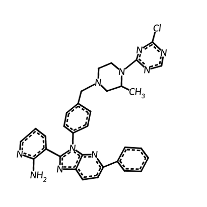 CC1CN(Cc2ccc(-n3c(-c4cccnc4N)nc4ccc(-c5ccccc5)nc43)cc2)CCN1c1ncnc(Cl)n1